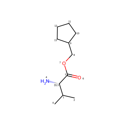 CC(C)[C@H](N)C(=O)OCC1CCCC1